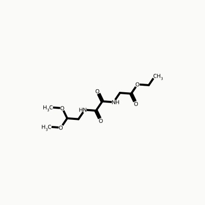 CCOC(=O)CNC(=O)C(=O)NCC(OC)OC